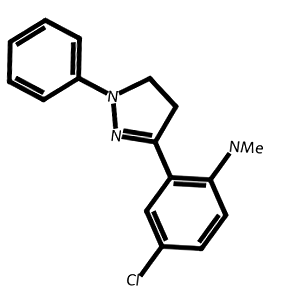 CNc1ccc(Cl)cc1C1=NN(c2ccccc2)CC1